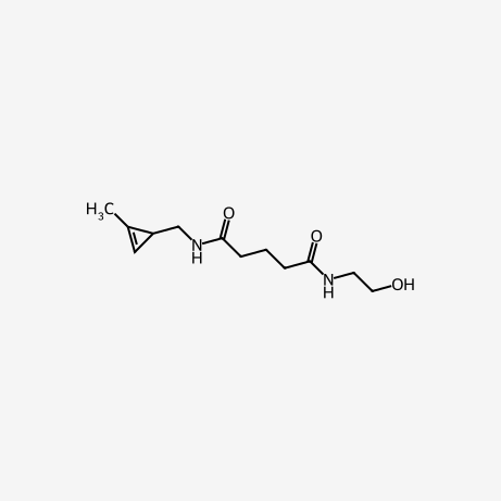 CC1=CC1CNC(=O)CCCC(=O)NCCO